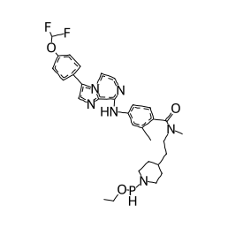 CCOPN1CCC(CCN(C)C(=O)c2ccc(Nc3nccn4c(-c5ccc(OC(F)F)cc5)cnc34)cc2C)CC1